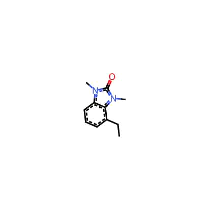 CCc1cccc2c1n(C)c(=O)n2C